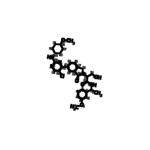 COc1cccc(C(C)NC(=O)C(CO)N2Cc3ccc(-c4nc(N[C@H]5CC[C@H](OC)CC5)ncc4Cl)cc3C2=O)c1